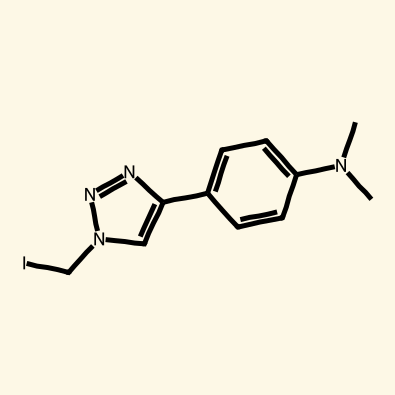 CN(C)c1ccc(-c2cn(CI)nn2)cc1